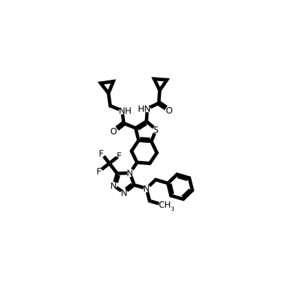 CCN(Cc1ccccc1)c1nnc(C(F)(F)F)n1C1CCc2sc(NC(=O)C3CC3)c(C(=O)NCC3CC3)c2C1